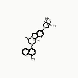 C[C@@H]1CN(c2ccc(C#N)c3ncccc23)C[C@@H]2c3ccc(N4C[C@@H](N)[C@](C)(O)C4)cc3CN12